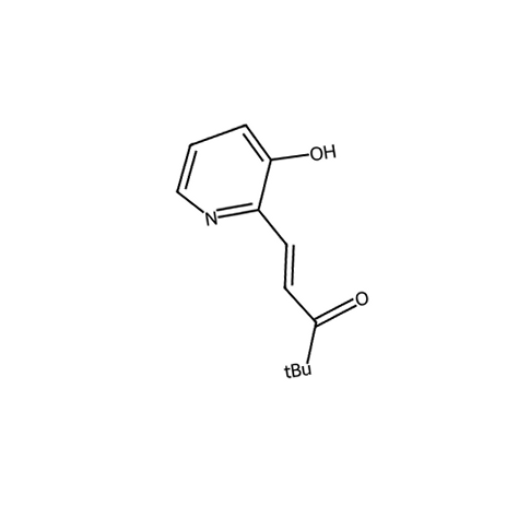 CC(C)(C)C(=O)/C=C/c1ncccc1O